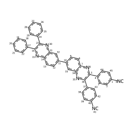 [C-]#[N+]c1ccc(-c2nc3ccc(-c4ccc5nc(-c6ccccc6)c(-c6ccccc6)nc5c4)cc3nc2-c2ccc([N+]#[C-])cc2)cc1